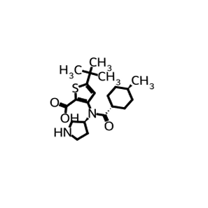 CC(C)(C)c1cc(N(C(=O)[C@H]2CC[C@H](C)CC2)[C@H]2CCNC2)c(C(=O)O)s1